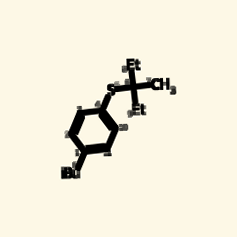 CCC(C)c1ccc(SC(C)(CC)CC)cc1